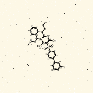 CCCCc1nc(=O)c(S(=O)(=O)c2ccc(-c3cncc(C)c3)cc2)c(O)n1C(COC)c1ccccc1